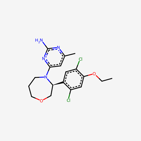 CCOc1cc(Cl)c([C@H]2COCCCN2c2cc(C)nc(N)n2)cc1Cl